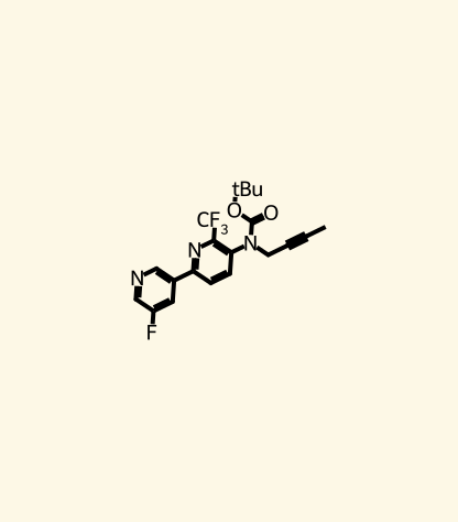 CC#CCN(C(=O)OC(C)(C)C)c1ccc(-c2cncc(F)c2)nc1C(F)(F)F